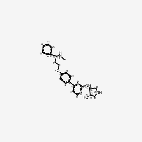 CN[C@@H](CCOc1ccc(-c2ccnc(N[C@H]3CNC[C@@H]3O)n2)cc1)c1ccccc1